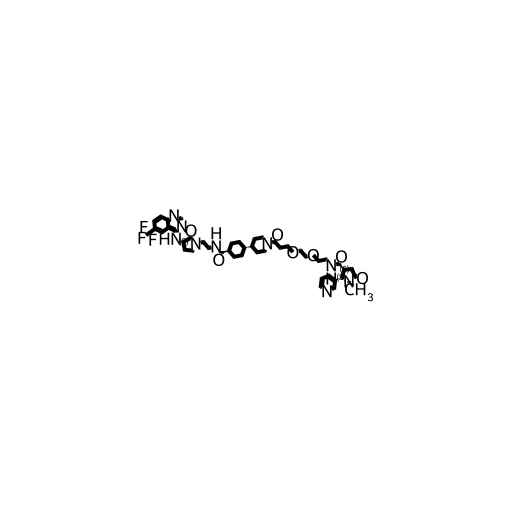 CN1C(=O)C[C@H](C(=O)NCCOCCOCCC(=O)N2CCC([C@H]3CC[C@H](C(=O)NCCN4CC[C@H](Nc5ncnc6ccc(C(F)(F)F)cc56)C4=O)CC3)CC2)[C@H]1c1cccnc1